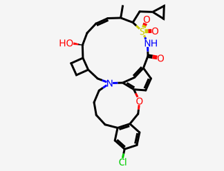 CC1/C=C\C[C@H](O)C2CCC2CN2CCCCc3cc(Cl)ccc3COc3ccc(cc32)C(=O)NS(=O)(=O)C1CC1CC1